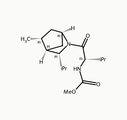 COC(=O)N[C@H](C(=O)N1[C@H]2C[C@H]([C@H](C)C2)[C@H]1C(C)C)C(C)C